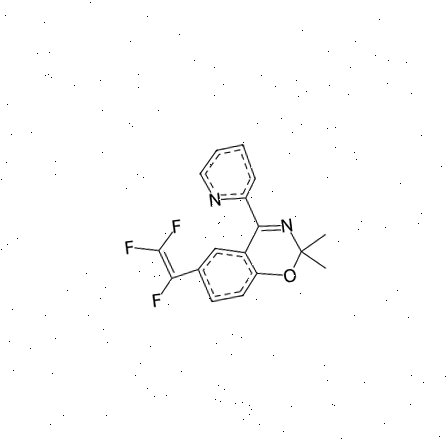 CC1(C)N=C(c2ccccn2)c2cc(C(F)=C(F)F)ccc2O1